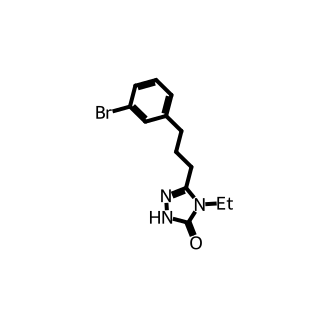 CCn1c(CCCc2cccc(Br)c2)n[nH]c1=O